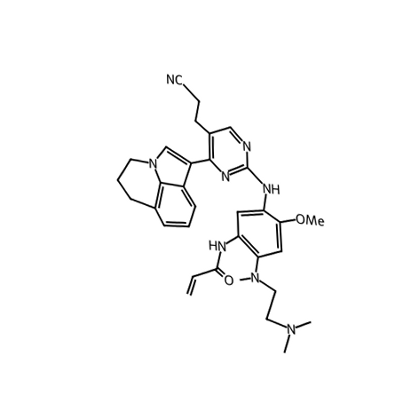 C=CC(=O)Nc1cc(Nc2ncc(CCC#N)c(-c3cn4c5c(cccc35)CCC4)n2)c(OC)cc1N(C)CCN(C)C